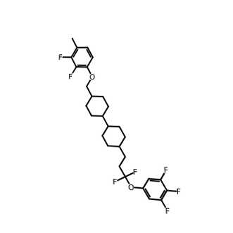 Cc1ccc(OCC2CCC(C3CCC(CCC(F)(F)Oc4cc(F)c(F)c(F)c4)CC3)CC2)c(F)c1F